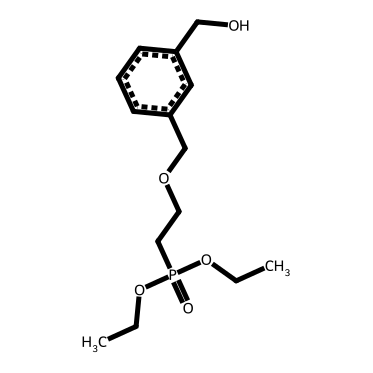 CCOP(=O)(CCOCc1cccc(CO)c1)OCC